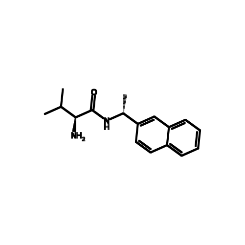 CC(C)[C@H](N)C(=O)N[C@H](C)c1ccc2ccccc2c1